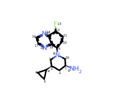 N[C@H]1C[C@@H](C2CC2)CN(c2ccc(F)c3nccnc23)C1